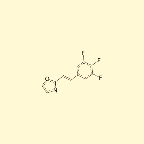 Fc1cc(C=Cc2ncco2)cc(F)c1F